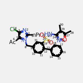 CCCc1nc(Cl)c(C(C)=O)n1Cc1ccc(-c2ccccc2)c(S(=O)(=O)Nc2noc(C)c2C)c1